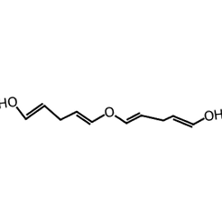 OC=CCC=COC=CCC=CO